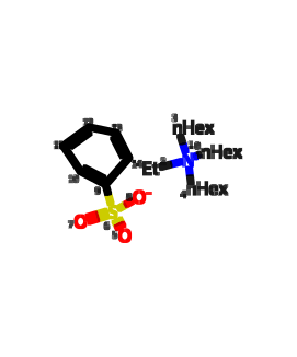 CCCCCC[N+](CC)(CCCCCC)CCCCCC.O=S(=O)([O-])c1ccccc1